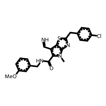 COc1cccc(CNC(=O)c2c(C=N)c3sc(Cc4ccc(Cl)cc4)nc3n2C)c1